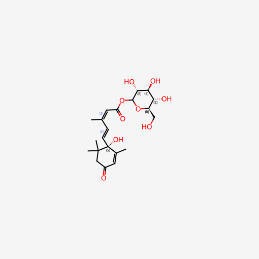 CC1=CC(=O)CC(C)(C)[C@@]1(O)/C=C/C(C)=C\C(=O)OC1O[C@H](CO)[C@@H](O)[C@H](O)[C@H]1O